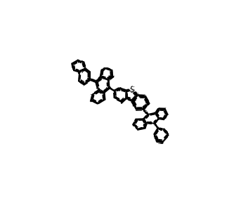 c1ccc(-c2c3ccccc3c(-c3ccc4sc5cc(-c6c7ccccc7c(-c7ccc8ccccc8c7)c7ccccc67)ccc5c4c3)c3ccccc23)cc1